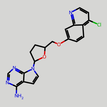 Nc1ncnc2c1ccn2C1CCC(COc2ccc3c(Cl)ccnc3c2)O1